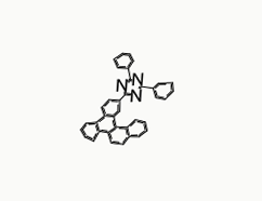 c1ccc(-c2nc(-c3ccccc3)nc(-c3ccc4c5ccccc5c5ccc6ccccc6c5c4c3)n2)cc1